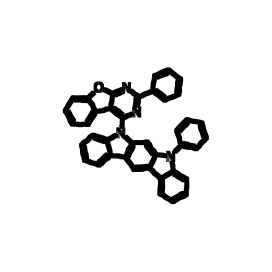 c1ccc(-c2nc(-n3c4ccccc4c4cc5c6ccccc6n(-c6ccccc6)c5cc43)c3c(n2)oc2ccccc23)cc1